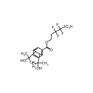 CC(C)(O)C1c2ccc(c(C(=O)OCCC(F)(F)C(F)(F)S(=O)(=O)O)c2)C1C(C)(C)O